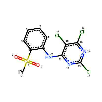 CC(C)S(=O)(=O)c1ccccc1Nc1nc(Cl)nc(Cl)c1Cl